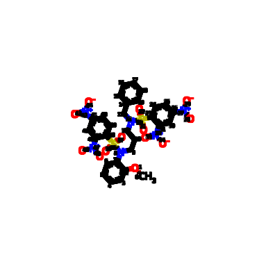 COc1ccccc1N(CCCN(Cc1ccccc1)S(=O)(=O)c1ccc([N+](=O)[O-])cc1[N+](=O)[O-])S(=O)(=O)c1ccc([N+](=O)[O-])cc1[N+](=O)[O-]